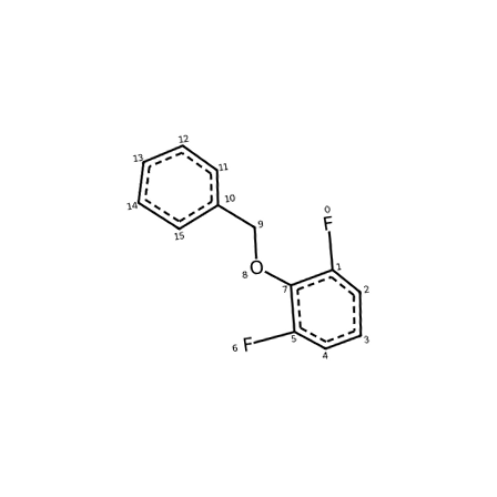 Fc1cccc(F)c1OCc1ccccc1